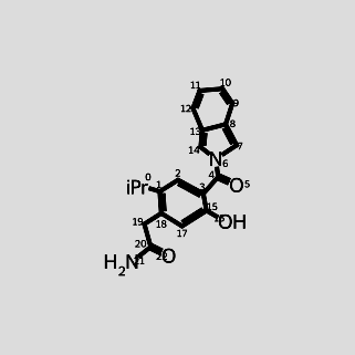 CC(C)c1cc(C(=O)n2cc3ccccc3c2)c(O)cc1CC(N)=O